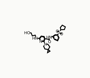 O=C(Nc1cccc(S(=O)(=O)C2CCCC2)c1)c1ccc(NCCCO)nc1N1CCC2(CC1)CC2